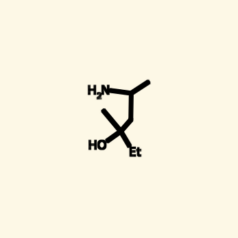 CCC(C)(O)CC(C)N